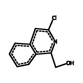 OCc1nc(Cl)cc2ccccc12